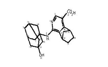 O=C(O)c1cnc(NC23CC4CC(CC(O)(C4)C2)C3)c2c1C1CCC2C1